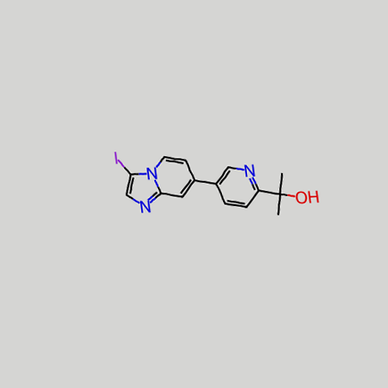 CC(C)(O)c1ccc(-c2ccn3c(I)cnc3c2)cn1